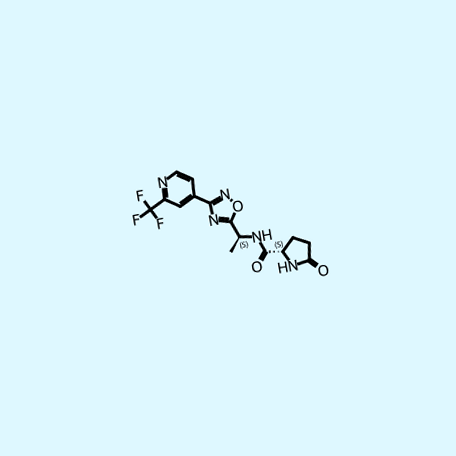 C[C@H](NC(=O)[C@@H]1CCC(=O)N1)c1nc(-c2ccnc(C(F)(F)F)c2)no1